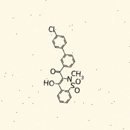 CN1C(C(=O)c2cccc(-c3ccc(Cl)cc3)c2)=C(O)c2ccccc2S1(=O)=O